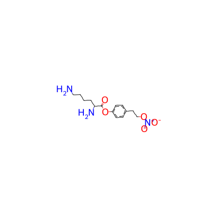 NCCCCC(N)C(=O)Oc1ccc(CCO[N+](=O)[O-])cc1